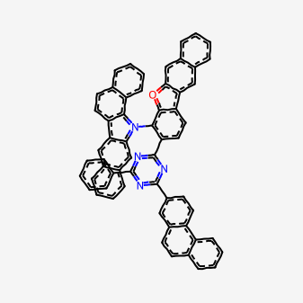 c1ccc(-c2nc(-c3ccc4c(ccc5ccccc54)c3)nc(-c3ccc4c(oc5cc6ccccc6cc54)c3-n3c4cc5ccccc5cc4c4ccc5ccccc5c43)n2)cc1